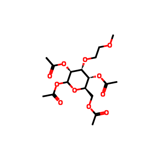 COCCO[C@@H]1[C@H](OC(C)=O)[C@@H](COC(C)=O)OC(OC(C)=O)[C@@H]1OC(C)=O